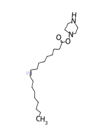 CCCCCCCC/C=C\CCCCCCCC(=O)ON1CCNCC1